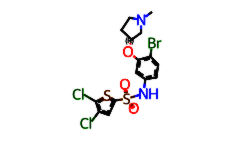 CN1CC[C@@H](Oc2cc(NS(=O)(=O)c3cc(Cl)c(Cl)s3)ccc2Br)C1